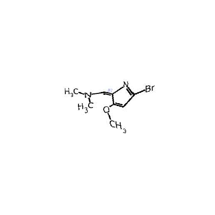 COC1=CC(Br)=N/C1=C/N(C)C